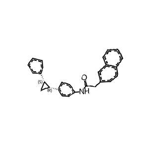 O=C(Cc1ccc2ccccc2c1)Nc1ccc([C@@H]2C[C@@H]2c2ccccc2)cc1